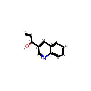 C=CC([O])c1cnc2ccccc2c1